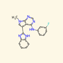 Cn1cc(-c2nc3ccccc3[nH]2)c2c(Nc3cccc(F)c3)ncnc21